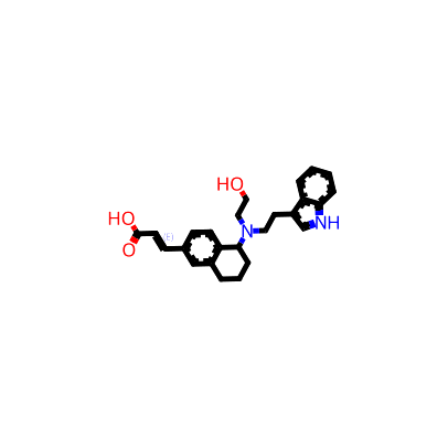 O=C(O)/C=C/c1ccc2c(c1)CCCC2N(CCO)CCc1c[nH]c2ccccc12